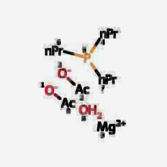 CC(=O)[O-].CC(=O)[O-].CCCP(CCC)CCC.O.[Mg+2]